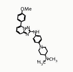 COc1ccc(-c2cccc3nc(Nc4ccc(N5CCC(N(C)C)CC5)cc4)nn23)cc1